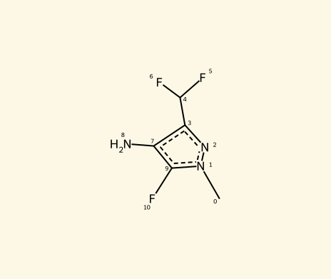 Cn1nc(C(F)F)c(N)c1F